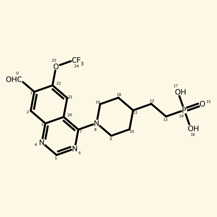 O=Cc1cc2ncnc(N3CCC(CCP(=O)(O)O)CC3)c2cc1OC(F)(F)F